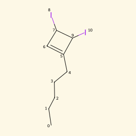 CCCCCC1=CC(I)C1I